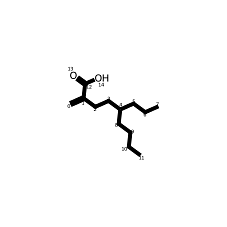 C=C(CCC(CCC)CCCC)C(=O)O